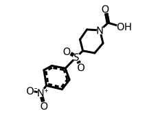 O=C(O)N1CCC(S(=O)(=O)c2ccc([N+](=O)[O-])cc2)CC1